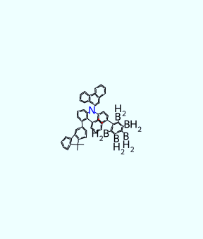 Bc1c(B)c(B)c(-c2ccc(N(c3cccc(-c4ccc5c(c4)-c4ccccc4C5(C)C)c3-c3ccccc3)c3cc4ccccc4c4ccccc34)cc2)c(B)c1B